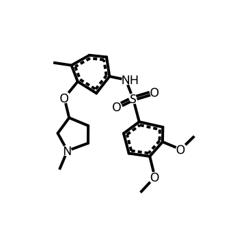 COc1ccc(S(=O)(=O)Nc2ccc(C)c(OC3CCN(C)C3)c2)cc1OC